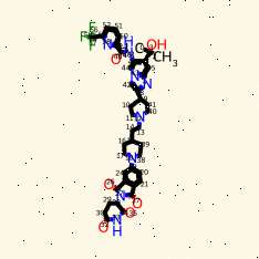 CC(C)(O)c1cc2nc(C3CCN(CCC4CCN(c5ccc6c(c5)C(=O)N(C5CCC(=O)NC5=O)C6=O)CC4)CC3)cn2cc1NC(=O)c1cccc(C(F)(F)F)n1